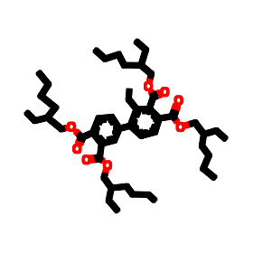 CCCCC(CC)COC(=O)c1ccc(-c2ccc(C(=O)OCC(CC)CCCC)c(C(=O)OCC(CC)CCCC)c2CC)cc1C(=O)OCC(CC)CCCC